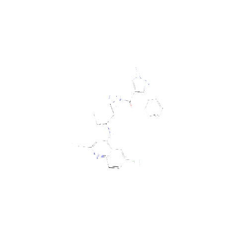 Cn1cc(C(=O)N[C@@H]2CCC[C@H](Nc3cc(C(F)(F)F)nc4ccc(Cl)cc34)C2)c(-c2ccccc2)n1